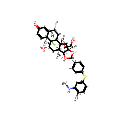 CC(C)Nc1cc(Sc2ccc([C@H]3O[C@@H]4C[C@H]5[C@@H]6C[C@H](F)C7=CC(=O)C=C[C@]7(C)[C@@]6(F)[C@@H](O)C[C@]5(C)[C@]4(C(=O)CO)O3)cc2)ccc1Cl